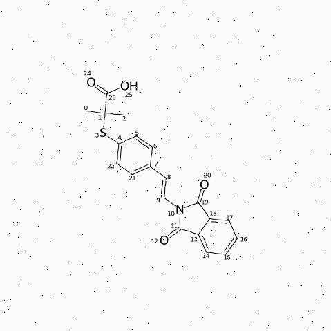 CC(C)(Sc1ccc(/C=C/N2C(=O)c3ccccc3C2=O)cc1)C(=O)O